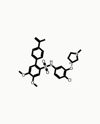 C=C(C)c1ccc(-c2cc(OC)c(OC)cc2S(=O)(=O)Nc2ccc(Cl)c(O[C@@H]3CCN(C)C3)c2)cc1